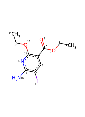 CCOC(=O)c1cc(I)c(N)nc1OCC